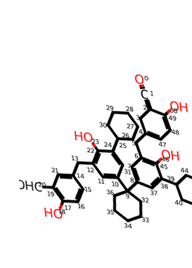 O=C=C1CC(Cc2cc(C3(c4cc(Cc5ccc(O)c(C=O)c5)c(O)c(C5CCCCC5)c4)CCCCC3)cc(C3CCCCC3)c2O)=CC=C1O